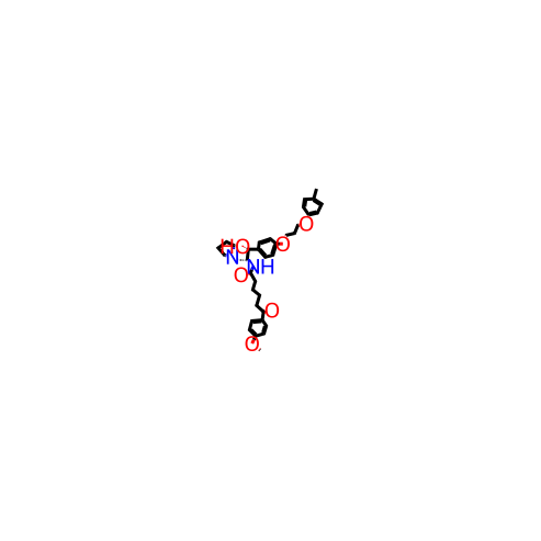 COc1ccc(C(=O)CCCCC(=O)N[C@H](CN2CCCC2)[C@H](O)c2ccc(OCCCOc3ccc(C)cc3)cc2)cc1